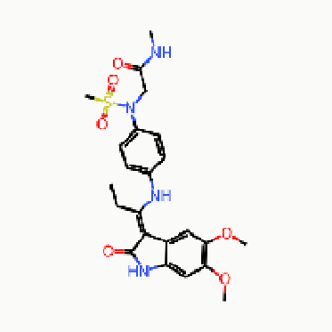 CCC(Nc1ccc(N(CC(=O)NC)S(C)(=O)=O)cc1)=C1C(=O)Nc2cc(OC)c(OC)cc21